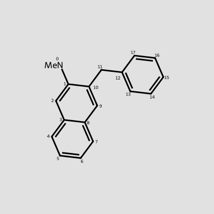 CNc1cc2ccccc2cc1Cc1ccccc1